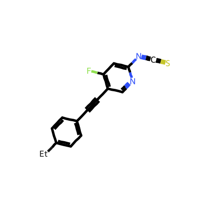 CCc1ccc(C#Cc2cnc(N=C=S)cc2F)cc1